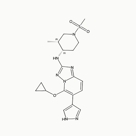 C[C@@H]1CN(S(C)(=O)=O)CC[C@@H]1Nc1nc2ccc(-c3cn[nH]c3)c(OC3CC3)n2n1